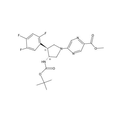 COC(=O)c1cnc(N2C[C@H](NC(=O)OC(C)(C)C)[C@@H](c3cc(F)c(F)cc3F)C2)cn1